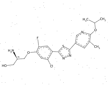 Cc1cc(-c2nnc(-c3cc(F)c(OC[C@H](N)CO)cc3Cl)s2)cnc1OC(C)C